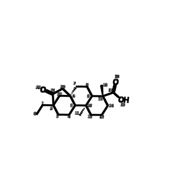 CCC12CCC3[C@](CCC4[C@@]3(C)CCC[C@@]4(C)C(=O)O)(CC1=O)C2